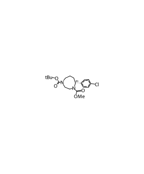 COC(=O)N1CCN(C(=O)OC(C)(C)C)CCC[C@@H]1c1ccc(Cl)cc1